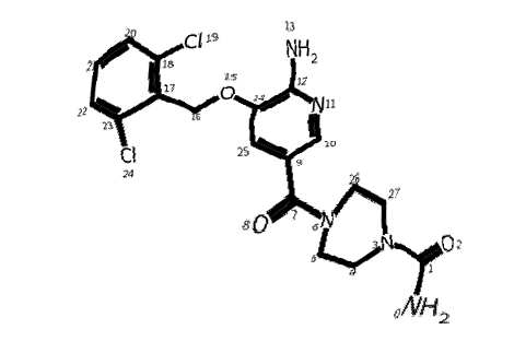 NC(=O)N1CCN(C(=O)c2cnc(N)c(OCc3c(Cl)cccc3Cl)c2)CC1